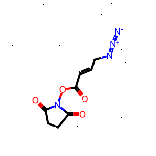 [N-]=[N+]=NC/C=C/C(=O)ON1C(=O)CCC1=O